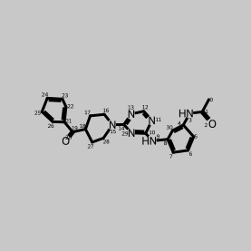 CC(=O)Nc1cccc(Nc2ncnc(N3CCC(C(=O)c4ccccc4)CC3)n2)c1